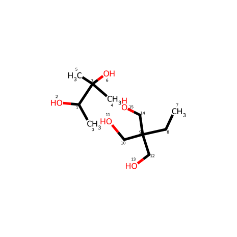 CC(O)C(C)(C)O.CCC(CO)(CO)CO